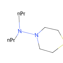 CCCN(CCC)N1CCSCC1